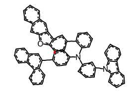 c1cc(N(c2ccc(-c3cc4ccccc4c4ccccc34)cc2)c2ccccc2-c2ccc3oc4cc5ccccc5cc4c3c2)cc(-n2c3ccccc3c3ccccc32)c1